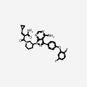 NC(=O)C(=CC1CC1)C(=O)N1CCCC(n2nc(-c3ccc(Oc4cc(F)ccc4F)cc3)c3c(N)ncnc32)C1